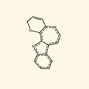 C1=Cc2nccc3c4ccccc4nc-3c2OC1